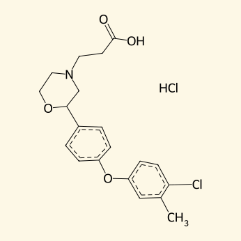 Cc1cc(Oc2ccc(C3CN(CCC(=O)O)CCO3)cc2)ccc1Cl.Cl